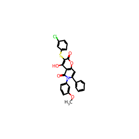 COc1cccc(-n2c(-c3ccccc3)cc3oc(=O)c(Sc4cccc(Cl)c4)c(O)c3c2=O)c1